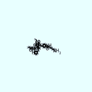 CCCn1c(=O)c2c(nc(Cc3ccccc3)n2CCNCC(O)CC)n(CCc2ccc(NC(=O)CCCCCN)cc2)c1=O